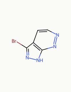 Brc1n[nH]c2nnccc12